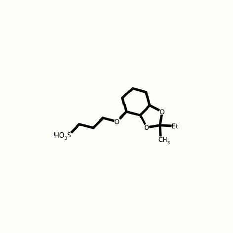 CCC1(C)OC2CCCC(OCCCS(=O)(=O)O)C2O1